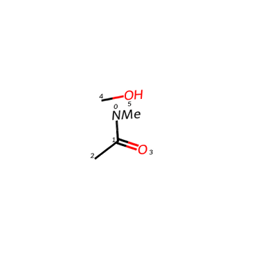 CNC(C)=O.CO